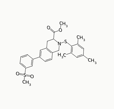 COC(=O)C1Cc2cc(-c3cccc(S(C)(=O)=O)c3)ccc2CN1Sc1c(C)cc(C)cc1C